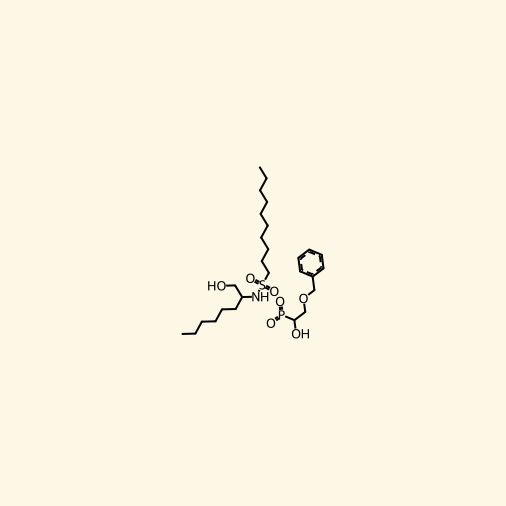 CCCCCCCCCCS(=O)(=O)NC(CO)CCCCCC.O=P(=O)C(O)COCc1ccccc1